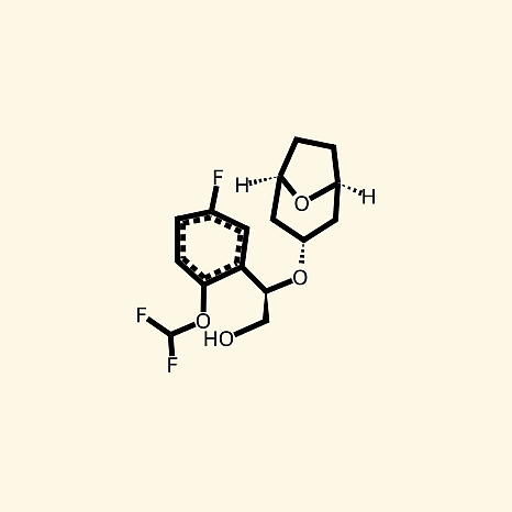 OC[C@H](O[C@@H]1C[C@H]2CC[C@@H](C1)O2)c1cc(F)ccc1OC(F)F